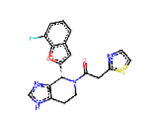 O=C(Cc1nccs1)N1CCc2[nH]cnc2[C@@H]1c1cc2cccc(F)c2o1